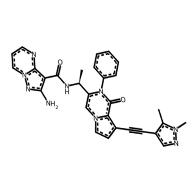 Cc1c(C#Cc2ccn3cc([C@H](C)NC(=O)c4c(N)nn5cccnc45)n(-c4ccccc4)c(=O)c23)cnn1C